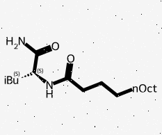 CCCCCCCCCCCC(=O)N[C@H](C(N)=O)[C@@H](C)CC